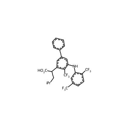 CC(C)CC(C(=O)O)c1cc(-c2ccccc2)cc(Nc2cc(C(F)(F)F)ccc2C(F)(F)F)c1C(F)(F)F